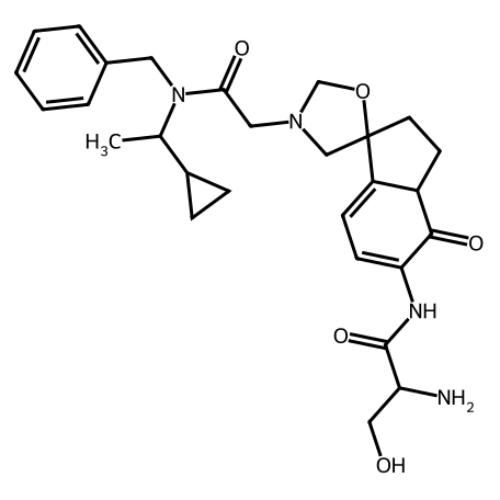 CC(C1CC1)N(Cc1ccccc1)C(=O)CN1COC2(CCC3C(=O)C(NC(=O)C(N)CO)=CC=C32)C1